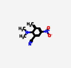 C=C1C=C([N+](=O)[O-])C=C(C#N)C1N(C)C